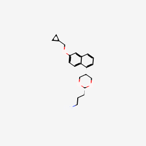 NCCC[C@H]1OC[C@H](c2cccc3cc(OCC4CC4)ccc32)CO1